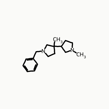 CN1CCC(C2(C)CCN(Cc3ccccc3)C2)C1